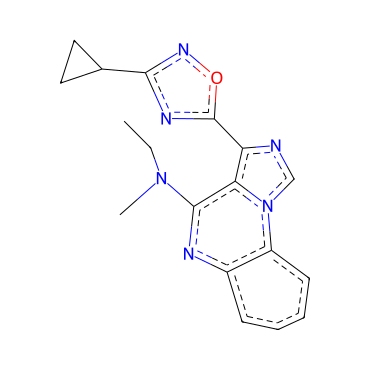 CCN(C)c1nc2ccccc2n2cnc(-c3nc(C4CC4)no3)c12